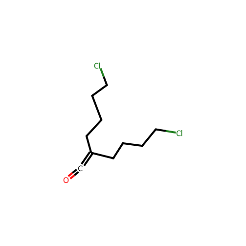 O=C=C(CCCCCl)CCCCCl